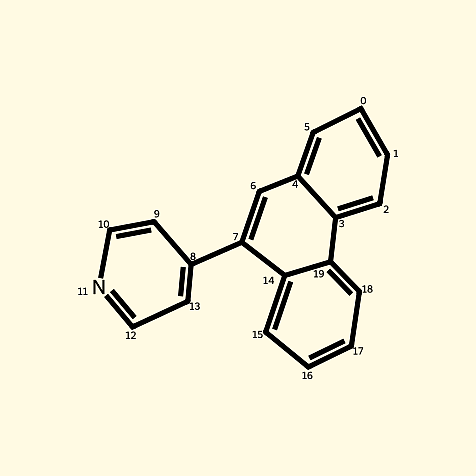 c1ccc2c(c1)cc(-c1ccncc1)c1ccccc12